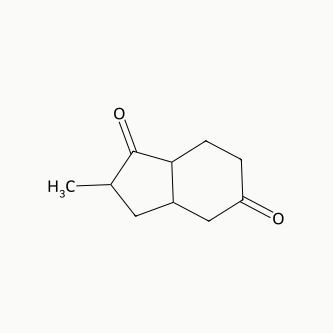 CC1CC2CC(=O)CCC2C1=O